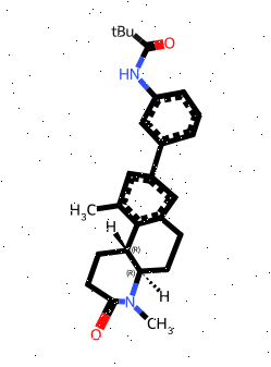 Cc1cc(-c2cccc(NC(=O)C(C)(C)C)c2)cc2c1[C@H]1CCC(=O)N(C)[C@@H]1CC2